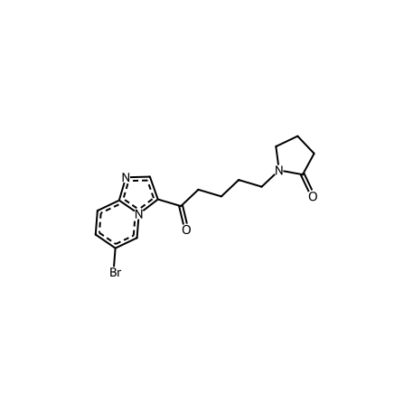 O=C(CCCCN1CCCC1=O)c1cnc2ccc(Br)cn12